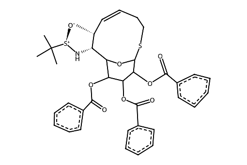 C[C@@H]1/C=C\CCSC2OC(C(OC(=O)c3ccccc3)C(OC(=O)c3ccccc3)C2OC(=O)c2ccccc2)[C@@H]1N[S@+]([O-])C(C)(C)C